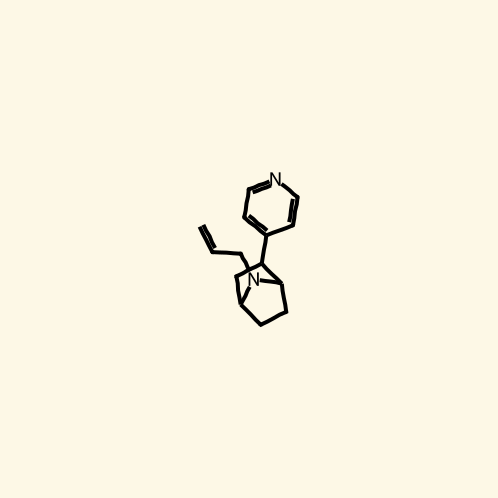 C=CCN1C2CCC1C(c1ccncc1)C2